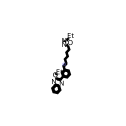 CCOc1nc2ccccc2nc1-c1cccc(/C=C/CCCCc2nnc(CC)o2)c1